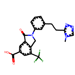 Cn1cnnc1CCc1cccc(N2Cc3c(cc(C(=O)O)cc3C(F)(F)F)C2=O)c1